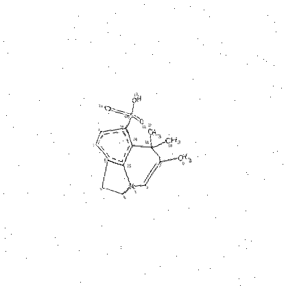 CC1=CN2CCc3ccc(S(=O)(=O)O)c(c32)C1(C)C